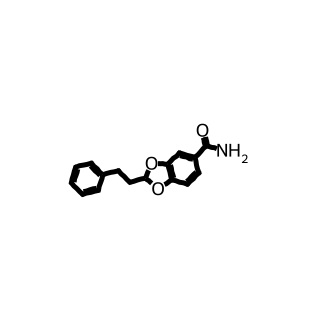 NC(=O)c1ccc2c(c1)OC(CCc1ccccc1)O2